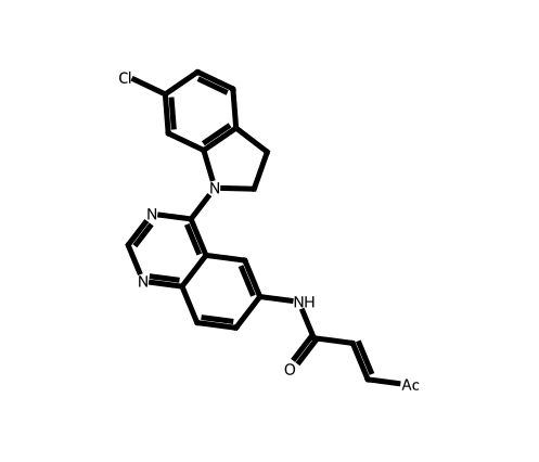 CC(=O)/C=C/C(=O)Nc1ccc2ncnc(N3CCc4ccc(Cl)cc43)c2c1